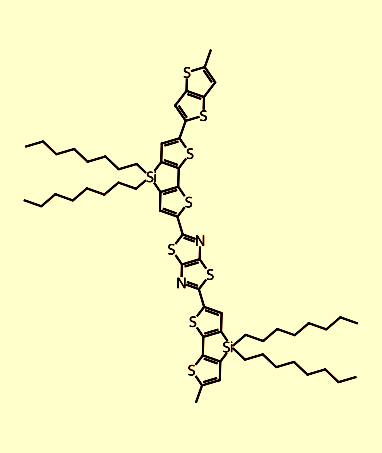 CCCCCCCC[Si]1(CCCCCCCC)c2cc(C)sc2-c2sc(-c3nc4sc(-c5cc6c(s5)-c5sc(-c7cc8sc(C)cc8s7)cc5[Si]6(CCCCCCCC)CCCCCCCC)nc4s3)cc21